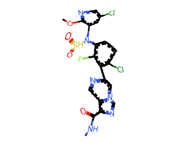 CNC(=O)c1ncn2cc(-c3c(Cl)ccc(N(c4cc(Cl)cnc4OC)[SH](=O)=O)c3F)ncc12